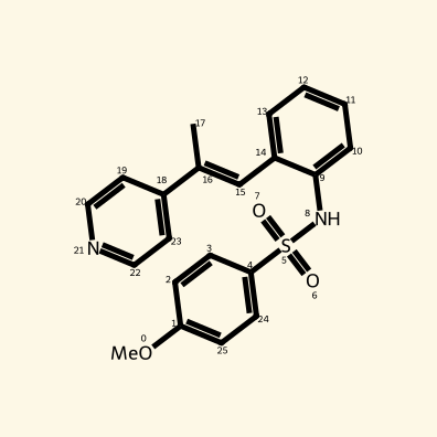 COc1ccc(S(=O)(=O)Nc2ccccc2/C=C(\C)c2ccncc2)cc1